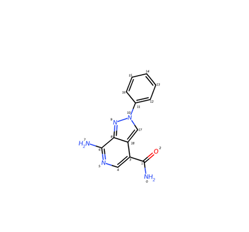 NC(=O)c1cnc(N)c2nn(-c3ccccc3)cc12